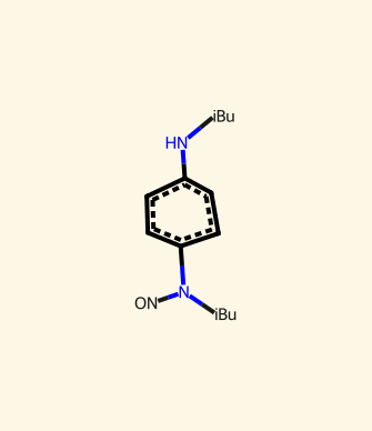 CCC(C)Nc1ccc(N(N=O)C(C)CC)cc1